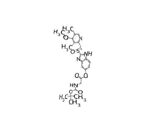 COc1c(C)cnc(C[S+]([O-])c2nc3cc(OC(=O)CNC(=O)OC(C)(C)C)ccc3[nH]2)c1C